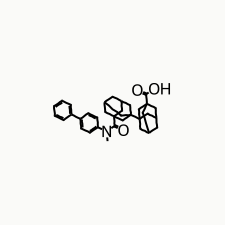 CN(C(=O)C12CC3CC(C1)CC(C14CC5CC(CC(C(=O)O)(C5)C1)C4)(C3)C2)c1ccc(-c2ccccc2)cc1